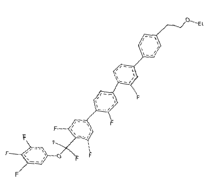 CCOCCc1ccc(-c2ccc(-c3ccc(-c4cc(F)c(C(F)(F)Oc5cc(F)c(F)c(F)c5)c(F)c4)c(F)c3)c(F)c2)cc1